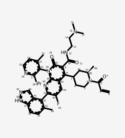 C=CC(=O)N1CCC(c2c(C(=O)NCCN(C)C)c(=O)n(-c3c(C)ccnc3C(C)C)c3nc(-c4c(C)ccc5[nH]ncc45)c(F)cc23)C[C@H]1C